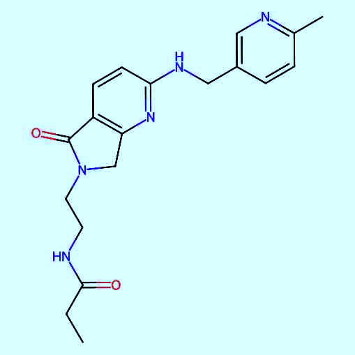 CCC(=O)NCCN1Cc2nc(NCc3ccc(C)nc3)ccc2C1=O